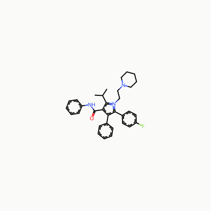 CC(C)c1c(C(=O)Nc2ccccc2)c(-c2ccccc2)c(-c2ccc(F)cc2)n1CCN1CCCCC1